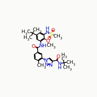 COc1c(NC(=O)c2ccc(C)c(-n3cc(C(=O)NC(C)(C)C)nn3)c2)cc(C(C)(C)C)cc1NS(C)(=O)=O